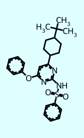 CC(C)(C)C1CCC(c2cc(Oc3ccccc3)nc(NS(=O)(=O)c3ccccc3)n2)CC1